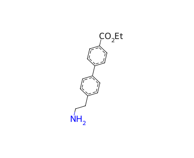 CCOC(=O)c1ccc(-c2ccc(CCN)cc2)cc1